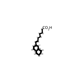 O=C(O)CCCCCC=Cc1ccc2ccccc2c1